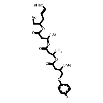 CCCCCCC=CCC(CC(C)=O)OC(=O)CC(CCCC)OC(=O)CC(C)OC(=O)CC(COc1ccc(F)cc1)OC